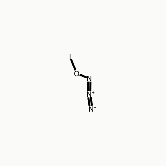 [N-]=[N+]=NOI